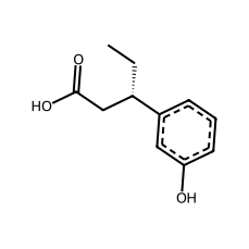 CC[C@@H](CC(=O)O)c1cccc(O)c1